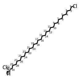 ClCCCCCCCCCCCCCCCCCCCCCCCCCCCCCC[SiH](Cl)Cl